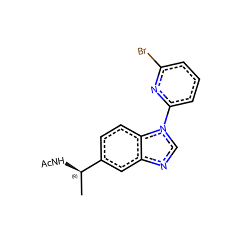 CC(=O)N[C@H](C)c1ccc2c(c1)ncn2-c1cccc(Br)n1